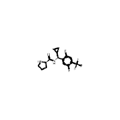 O=C(N[C@@H](c1cc(F)c(C(F)(F)F)cc1F)C1CC1)[C@H]1CCCN1